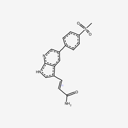 CS(=O)(=O)c1ccc(-c2cnc3[nH]cc(/C=C/C(N)=O)c3c2)cc1